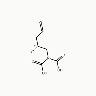 C[C@H](CC=O)CN(C(=O)O)C(=O)O